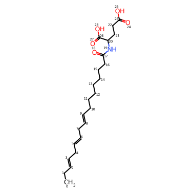 CCC=CCC=CCC=CCCCCCCCC(=O)NC(CCC(=O)O)C(=O)O